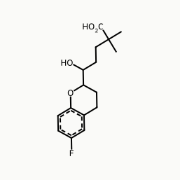 CC(C)(CCC(O)C1CCc2cc(F)ccc2O1)C(=O)O